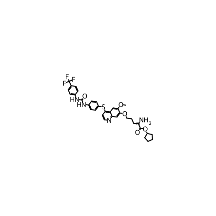 COc1cc2c(Sc3ccc(NC(=O)Nc4ccc(C(F)(F)F)cc4)cc3)ccnc2cc1OCCC[C@@H](N)C(=O)OC1CCCC1